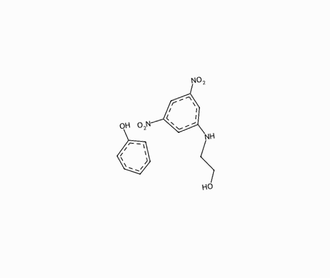 O=[N+]([O-])c1cc(NCCO)cc([N+](=O)[O-])c1.Oc1ccccc1